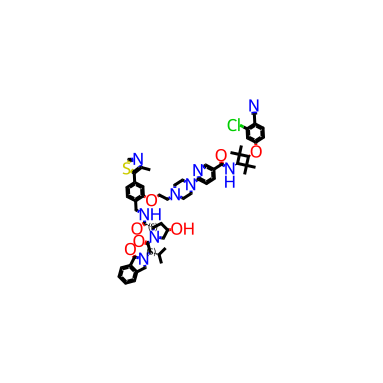 Cc1ncsc1-c1ccc(CNC(=O)[C@@H]2CC(O)CN2C(=O)[C@H](C(C)C)N2Cc3ccccc3C2=O)c(OCCN2CCN(c3ccc(C(=O)N[C@H]4C(C)(C)[C@H](Oc5ccc(C#N)c(Cl)c5)C4(C)C)cn3)CC2)c1